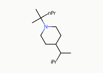 CCCC(C)(C)N1CCC(C(C)C(C)C)CC1